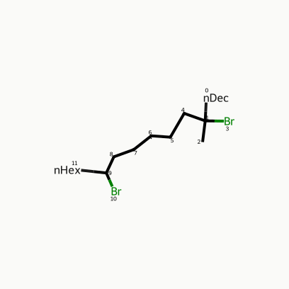 CCCCCCCCCCC(C)(Br)CC[CH]CCC(Br)CCCCCC